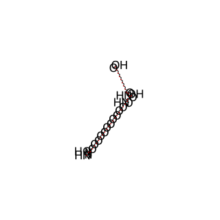 N=NN(O)CCOCCOCCOCCOCCOCCOCCOCCOCCOCCOCCOCCNC(=O)CC[C@H](NC(=O)CCCCCCCCCCCCCCCCC(=O)O)C(=O)O